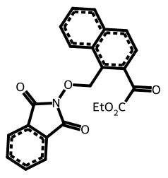 CCOC(=O)C(=O)c1ccc2ccccc2c1CON1C(=O)c2ccccc2C1=O